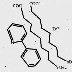 CCCCCCCCCCCCCCCCCC(=O)[O-].CCCCCCCCCCCCCCCCCC(=O)[O-].[Zn+2].c1ccc(-c2ccccn2)cc1